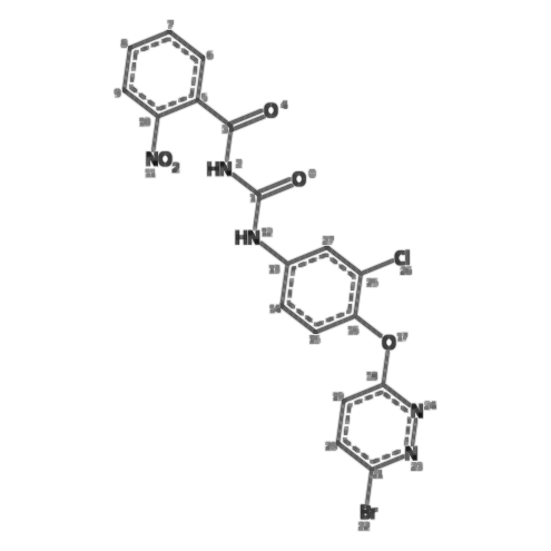 O=C(NC(=O)c1ccccc1[N+](=O)[O-])Nc1ccc(Oc2ccc(Br)nn2)c(Cl)c1